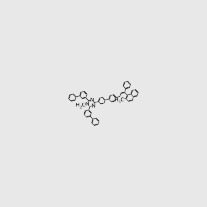 C=N/C(=N\C(=N/Cc1cccc(-c2ccccc2)c1)c1ccc(-c2ccc(C/C=C(/c3ccccc3)c3c(C)ccc4ccccc34)cc2)cc1)c1cccc(-c2ccccc2)c1